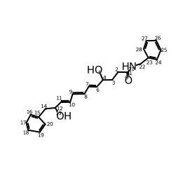 O=C(CCC(O)/C=C/C=C/C=C/C(O)Cc1ccccc1)NCc1ccccc1